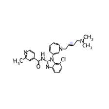 Cc1cc(C(=O)Nc2nc3cccc(Cl)c3n2C2=CN(C/C=C/CN(C)C)C=CC=C2)ccn1